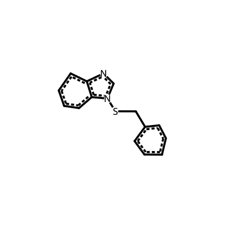 c1ccc(CSn2cnc3ccccc32)cc1